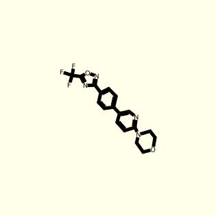 FC(F)(F)c1nc(-c2ccc(-c3ccc(N4CCOCC4)nc3)cc2)no1